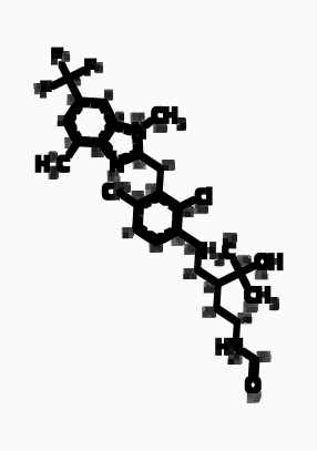 Cc1cc(C(F)(F)F)cc2c1nc(Cc1c(Cl)ccc(CCC(CCNC=O)C(C)(C)O)c1Cl)n2C